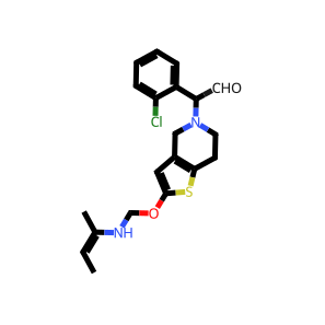 C/C=C(/C)NCOc1cc2c(s1)CCN(C(C=O)c1ccccc1Cl)C2